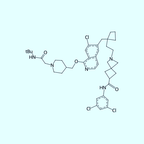 CC(C)(C)NC(=O)CN1CCC(COc2nccc3cc(CC4(CCN5CC6(CC(C(=O)Nc7cc(Cl)cc(Cl)c7)C6)C5)CCC4)c(Cl)cc23)CC1